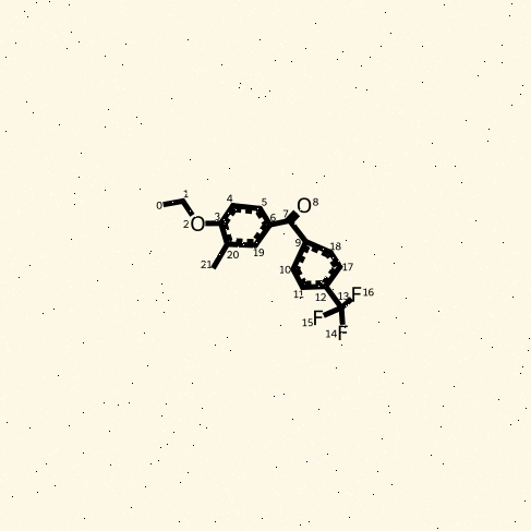 CCOc1ccc(C(=O)c2ccc(C(F)(F)F)cc2)cc1C